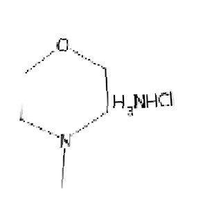 CN1CCOCC1.Cl.N